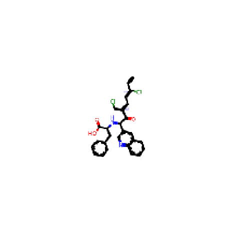 C=C/C(Cl)=C/C=C(\CCl)C(=O)C(NC(Cc1ccccc1)C(=O)O)c1cnc2ccccc2c1